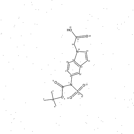 CC(C)(C)OC(=O)N(c1ccc2c(ccn2CC(=O)O)c1)S(C)(=O)=O